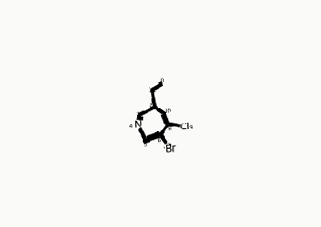 CCC1C=NC=C(Br)C(Cl)=C1